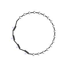 [C]1=C/C=C/C=C\C=C\CCCCCCCCCCCCCCCCCC/1